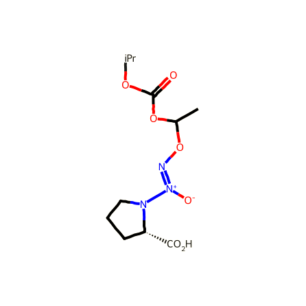 CC(C)OC(=O)OC(C)ON=[N+]([O-])N1CCC[C@H]1C(=O)O